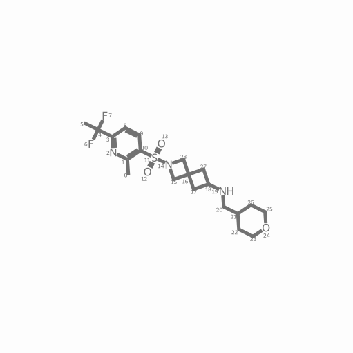 Cc1nc(C(C)(F)F)ccc1S(=O)(=O)N1CC2(CC(NCC3CCOCC3)C2)C1